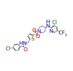 O=C(NCc1ccc(S(=O)(=O)N2CCC(Nc3ncc(C(F)(F)F)cc3Cl)CC2)s1)c1ccc(Cl)cc1